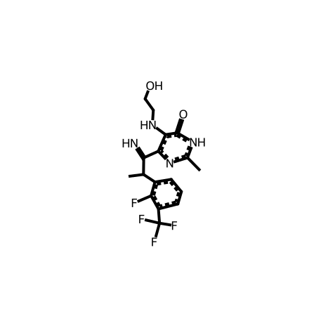 Cc1nc(C(=N)C(C)c2cccc(C(F)(F)F)c2F)c(NCCO)c(=O)[nH]1